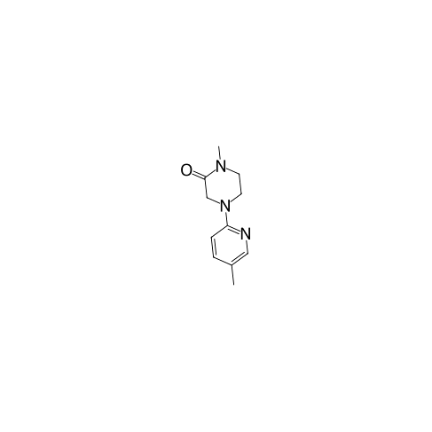 Cc1ccc(N2CCN(C)C(=O)C2)nc1